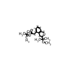 COC(C)(C)C1Cc2c(cccc2CC(=O)OC(C)(C)C)CO1